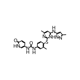 Cc1cc(Nc2cc(C)nc(Sc3ccc(NC(=O)Nc4ccc(=O)[nH]c4)cc3C)n2)[nH]n1